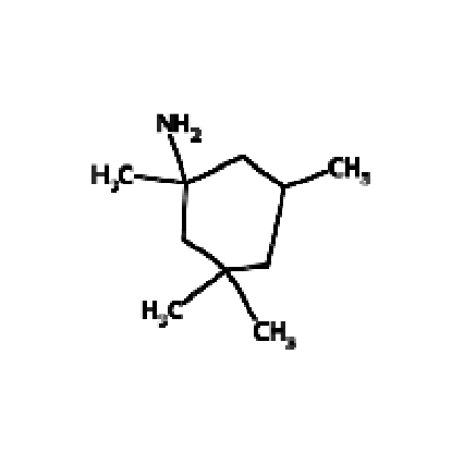 CC1CC(C)(C)CC(C)(N)C1